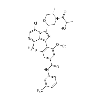 CCOc1cc(C(=O)Nc2cc(C(F)(F)F)ccn2)cc(F)c1-c1nc([C@H]2CN(C(=O)C(C)O)[C@@H](C)CO2)n2c(Cl)cnc(N)c12